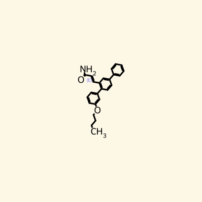 CCCCOc1cccc(-c2ccc(-c3ccccc3)cc2/C=C/C(N)=O)c1